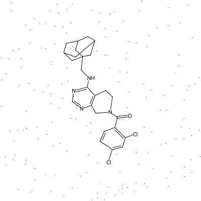 O=C(c1ccc(Cl)cc1Cl)N1CCc2c(ncnc2NCC23CC4CC(CC(C4)C2)C3)C1